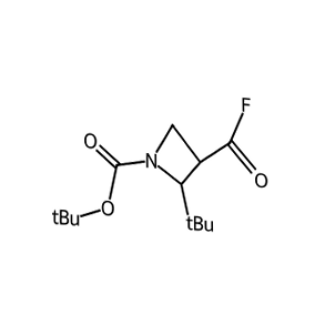 CC(C)(C)OC(=O)N1CC(C(=O)F)C1C(C)(C)C